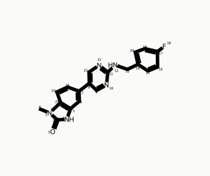 Cn1c(=O)[nH]c2cc(-c3cnc(NCc4ccc(F)cc4)nc3)ccc21